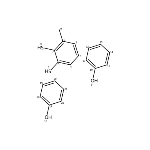 Cc1cccc(S)c1S.Oc1ccccc1.Oc1ccccc1